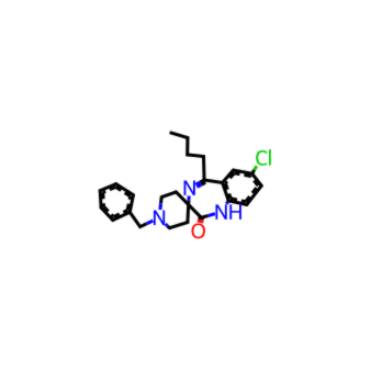 CCCCC1=NC2(CCN(Cc3ccccc3)CC2)C(=O)Nc2ccc(Cl)cc21